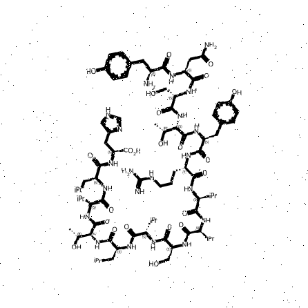 CC(C)C[C@H](NC(=O)[C@@H](NC(=O)[C@H](CO)NC(=O)[C@@H](NC(=O)[C@@H](NC(=O)[C@H](CCCNC(=N)N)NC(=O)[C@H](Cc1ccc(O)cc1)NC(=O)[C@@H](NC(=O)[C@H](CO)NC(=O)[C@H](CC(N)=O)NC(=O)[C@@H](N)Cc1ccc(O)cc1)[C@@H](C)O)C(C)C)C(C)C)C(C)C)C(=O)N[C@H](C(=O)N[C@H](C(=O)N[C@@H](CC(C)C)C(=O)N[C@@H](Cc1c[nH]cn1)C(=O)O)C(C)C)[C@@H](C)O